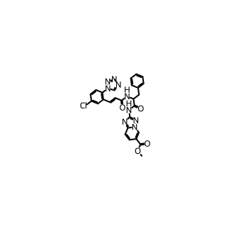 COC(=O)c1ccc2nc(NC(=O)C(Cc3ccccc3)NC(=O)C=Cc3cc(Cl)ccc3-n3cnnn3)nn2c1